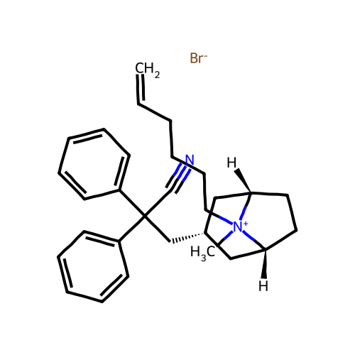 C=CCCCC[N+]1(C)[C@@H]2CC[C@H]1C[C@@H](CC(C#N)(c1ccccc1)c1ccccc1)C2.[Br-]